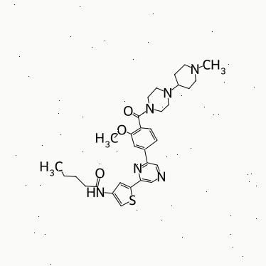 CCCCC(=O)Nc1csc(-c2cncc(-c3ccc(C(=O)N4CCN(C5CCN(C)CC5)CC4)c(OC)c3)n2)c1